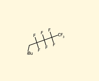 CCC(C)CC(F)(F)C(F)(F)C(F)(F)C(F)(F)F